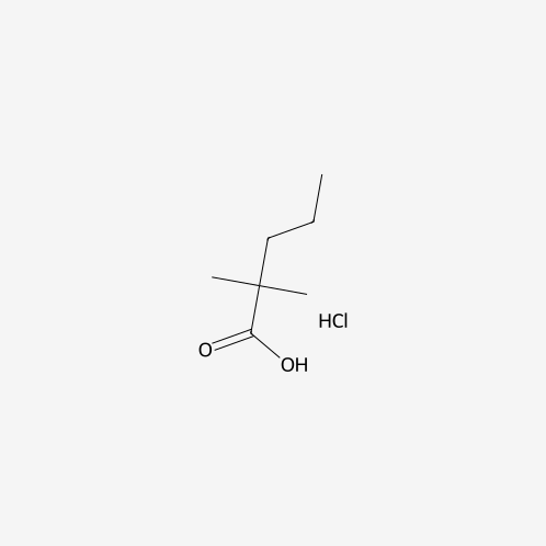 CCCC(C)(C)C(=O)O.Cl